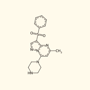 Cc1cc(N2CCNCC2)n2ncc(S(=O)(=O)c3ccccc3)c2n1